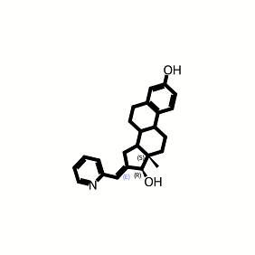 C[C@]12CCC3c4ccc(O)cc4CCC3C1C/C(=C\c1ccccn1)[C@@H]2O